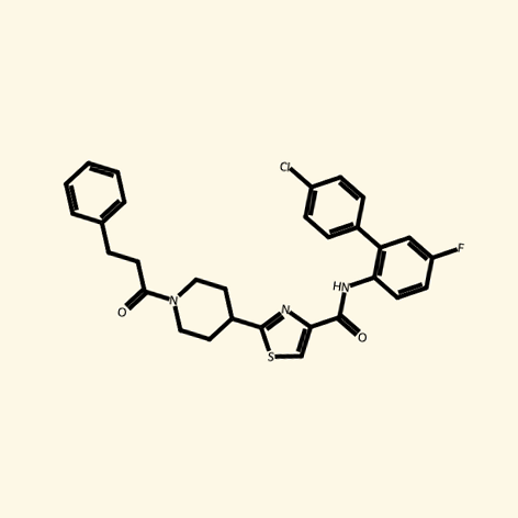 O=C(Nc1ccc(F)cc1-c1ccc(Cl)cc1)c1csc(C2CCN(C(=O)CCc3ccccc3)CC2)n1